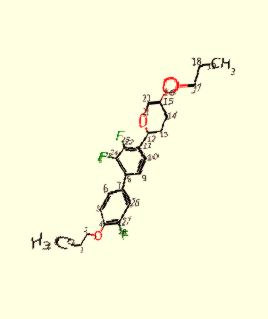 CCCOc1ccc(-c2ccc(C3CCC(OCCC)CO3)c(F)c2F)cc1F